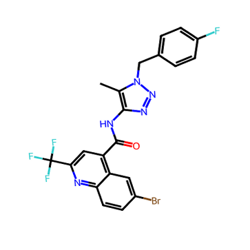 Cc1c(NC(=O)c2cc(C(F)(F)F)nc3ccc(Br)cc23)nnn1Cc1ccc(F)cc1